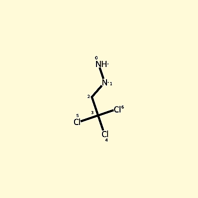 [NH][N]CC(Cl)(Cl)Cl